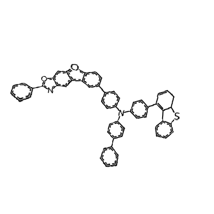 C1=CC(c2ccc(N(c3ccc(-c4ccccc4)cc3)c3ccc(-c4ccc5oc6cc7oc(-c8ccccc8)nc7cc6c5c4)cc3)cc2)=C2c3ccccc3SC2C1